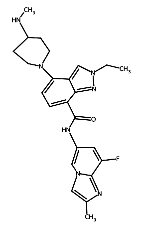 CCn1cc2c(N3CCC(NC)CC3)ccc(C(=O)Nc3cc(F)c4nc(C)cn4c3)c2n1